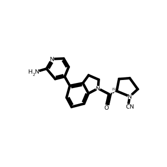 N#CN1CCC[C@H]1C(=O)N1CCc2c(-c3ccnc(N)c3)cccc21